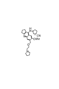 COc1cc2c(N[C@@H]3CC[C@H](C#N)C3)c3c(nc2cc1COCCN1CCCC1)CCC3